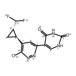 O=c1[nH]cc(-c2cc([C@H]3C[C@@H]3C(F)F)c(Cl)nn2)c(=O)[nH]1